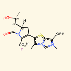 CSc1c2sc(C3=C(C(=O)O)N4C(=O)[C@H]([C@@H](C)O)[C@H]4C3)c(C)[n+]2cn1C.[I-]